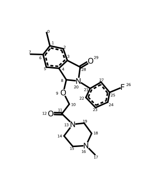 Cc1cc2c(cc1C)C(OCC(=O)N1CCN(C)CC1)N(c1cccc(F)c1)C2=O